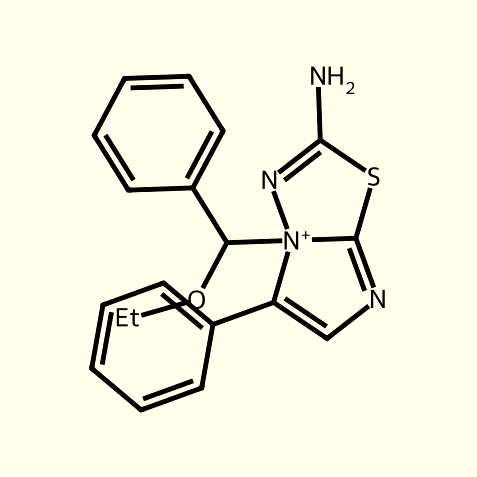 CCOC(c1ccccc1)[N+]12N=C(N)SC1=NC=C2c1ccccc1